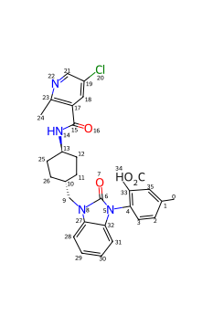 Cc1ccc(-n2c(=O)n(C[C@H]3CC[C@H](NC(=O)c4cc(Cl)cnc4C)CC3)c3ccccc32)c(C(=O)O)c1